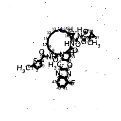 Cc1ccc(C(=O)N[C@H]2CCCCC/C=C\[C@@H]3C[C@@]3(C(=O)NS(=O)(=O)C3(C)CC3)NC(=O)[C@@H]3C[C@@H](Oc4nc5c(F)cccc5nc4C)CN3C2=O)s1